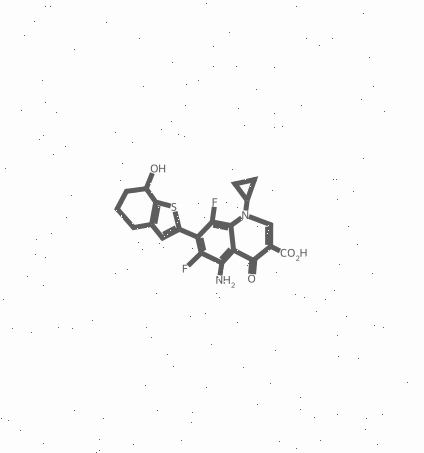 Nc1c(F)c(-c2cc3c(s2)C(O)CCC3)c(F)c2c1c(=O)c(C(=O)O)cn2C1CC1